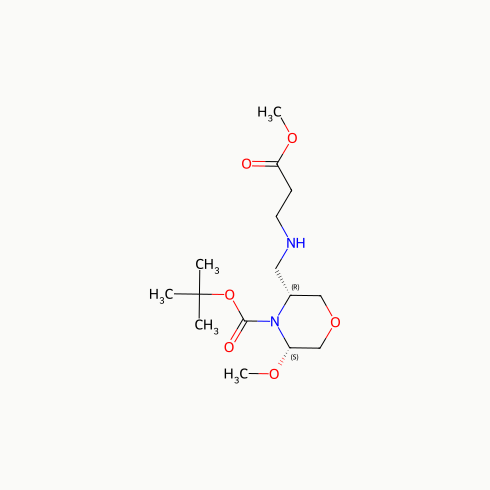 COC(=O)CCNC[C@@H]1COC[C@H](OC)N1C(=O)OC(C)(C)C